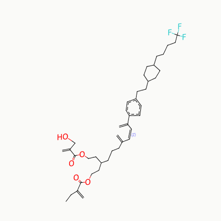 C=C(/C=C\C(=C)c1ccc(CCC2CCC(CCCCC(F)(F)F)CC2)cc1)CCCC(CCOC(=O)C(=C)CC)CCOC(=O)C(=C)CO